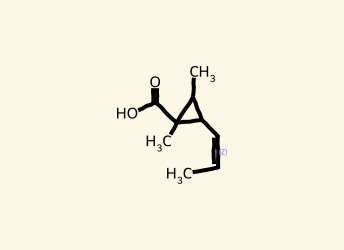 C/C=C\C1C(C)C1(C)C(=O)O